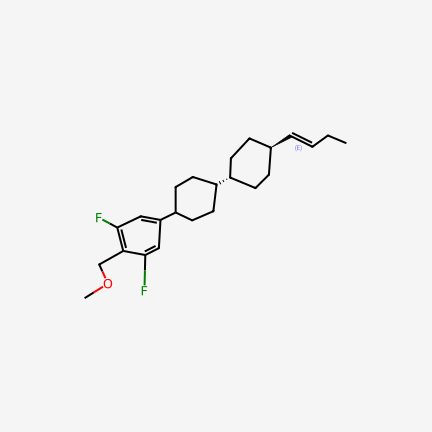 CC/C=C/[C@H]1CC[C@H](C2CCC(c3cc(F)c(COC)c(F)c3)CC2)CC1